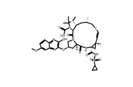 CC[C@@H]1C[C@H](C)CCC=C[C@@H]2C[C@@]2(C(=O)NS(=O)(=O)C2CC2)NC(=O)[C@@H]2C[C@@H](Oc3nc4cc(OC)ccc4nc3O)CN2C(=O)[C@H]1N(C(=O)O)C(C)(C)C